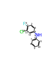 Fc1ccc(Nc2ccccc2)cc1Cl